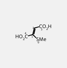 CS/C(=C\C(=O)O)C(=O)O